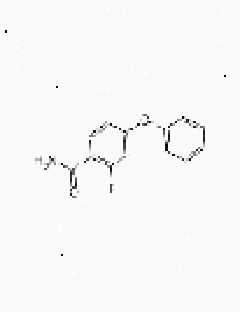 NC(=O)c1ccc(Oc2ccccc2)cc1F